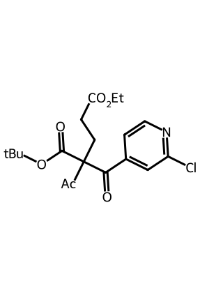 CCOC(=O)CCC(C(C)=O)(C(=O)OC(C)(C)C)C(=O)c1ccnc(Cl)c1